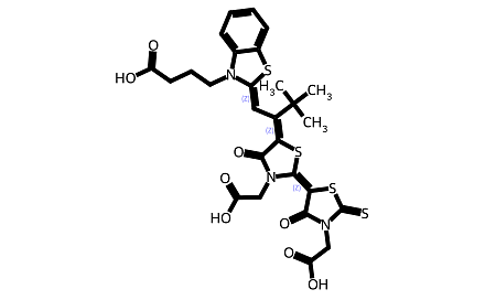 CC(C)(C)C(/C=C1\Sc2ccccc2N1CCCC(=O)O)=c1\s/c(=C2\SC(=S)N(CC(=O)O)C2=O)n(CC(=O)O)c1=O